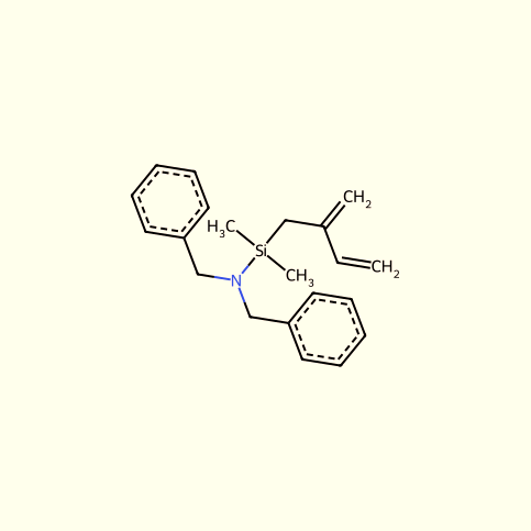 C=CC(=C)C[Si](C)(C)N(Cc1ccccc1)Cc1ccccc1